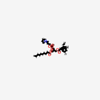 CCCCCCCCCC(=O)OCC(COC(=O)CC12C[C@@H](C)C[C@@H](C[C@@H](CC)C1)C2)COC(=O)OCCCN1CCCC1